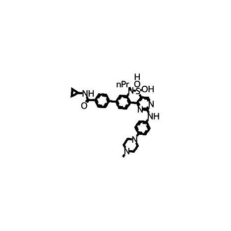 CCCN1c2cc(-c3ccc(C(=O)NC4CC4)cc3)ccc2-c2nc(Nc3ccc(N4CCN(C)CC4)cc3)ncc2S1(O)O